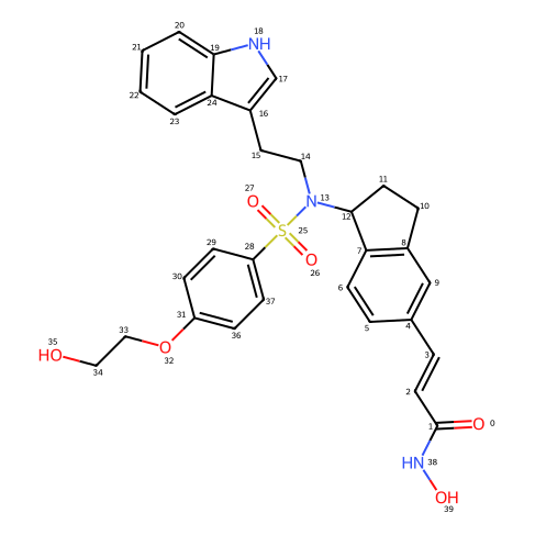 O=C(C=Cc1ccc2c(c1)CCC2N(CCc1c[nH]c2ccccc12)S(=O)(=O)c1ccc(OCCO)cc1)NO